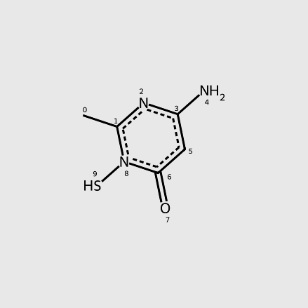 Cc1nc(N)cc(=O)n1S